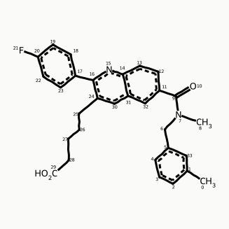 Cc1cccc(CN(C)C(=O)c2ccc3nc(-c4ccc(F)cc4)c(CCCCC(=O)O)cc3c2)c1